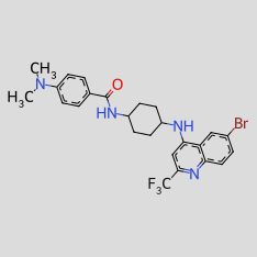 CN(C)c1ccc(C(=O)NC2CCC(Nc3cc(C(F)(F)F)nc4ccc(Br)cc34)CC2)cc1